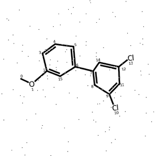 COc1cccc(-c2cc(Cl)cc(Cl)c2)c1